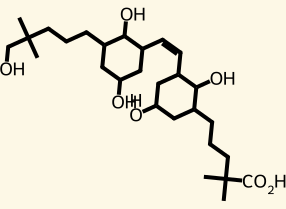 CC(C)(CO)CCCC1CC(O)CC(/C=C\C2CC(O)CC(CCCC(C)(C)C(=O)O)C2O)C1O